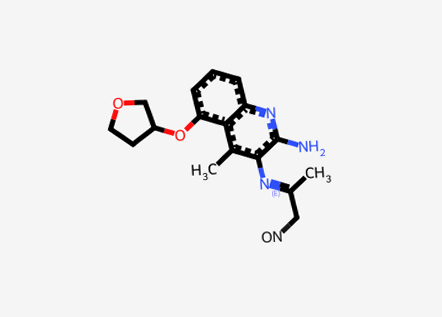 C/C(CN=O)=N\c1c(N)nc2cccc(OC3CCOC3)c2c1C